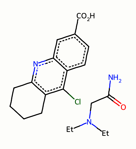 CCN(CC)CC(N)=O.O=C(O)c1ccc2c(Cl)c3c(nc2c1)CCCC3